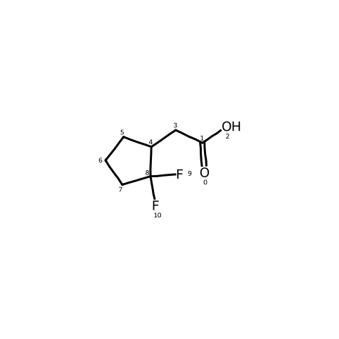 O=C(O)CC1CCCC1(F)F